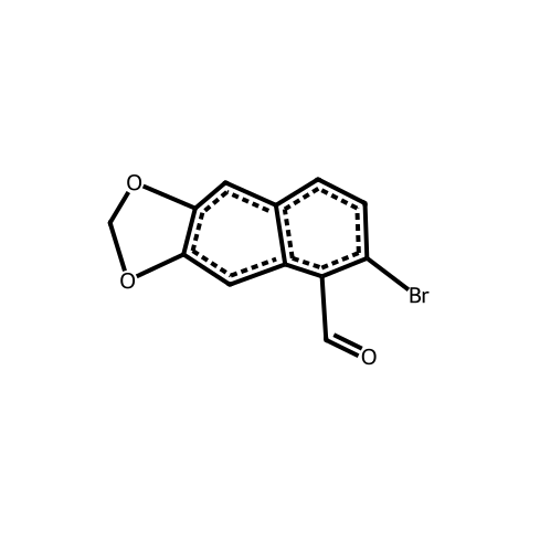 O=Cc1c(Br)ccc2cc3c(cc12)OCO3